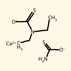 CCN(CC)C([O-])=S.NC([O-])=S.[Ca+2]